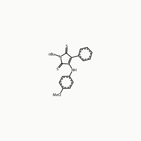 CCCCN1C(=S)C(Nc2ccc(OC)cc2)=C(c2ccccc2)C1=S